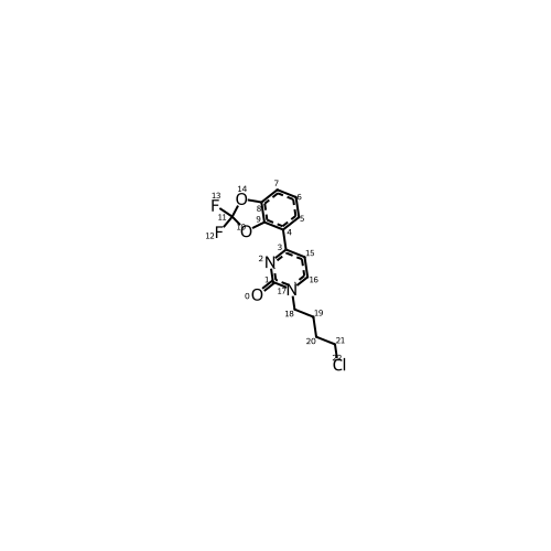 O=c1nc(-c2cccc3c2OC(F)(F)O3)ccn1CCCCCl